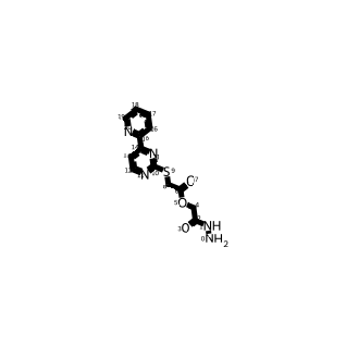 NNC(=O)COC(=O)CSc1nccc(-c2ccccn2)n1